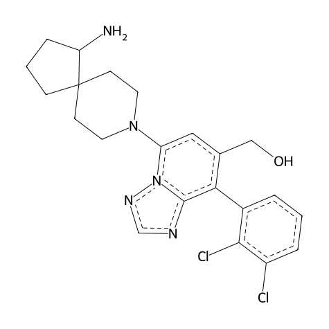 NC1CCCC12CCN(c1cc(CO)c(-c3cccc(Cl)c3Cl)c3ncnn13)CC2